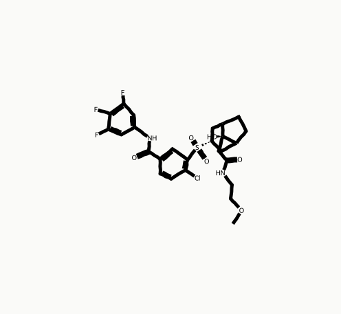 COCCNC(=O)C[C@]1(O)C2CCC1C[C@@H](S(=O)(=O)c1cc(C(=O)Nc3cc(F)c(F)c(F)c3)ccc1Cl)C2